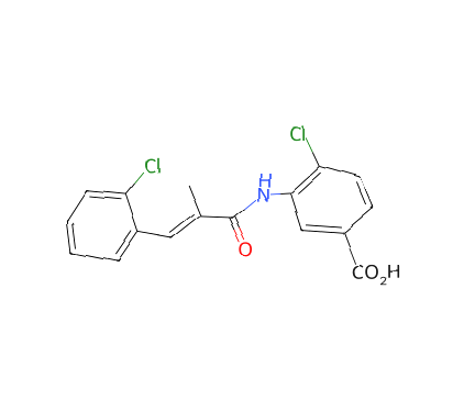 CC(=Cc1ccccc1Cl)C(=O)Nc1cc(C(=O)O)ccc1Cl